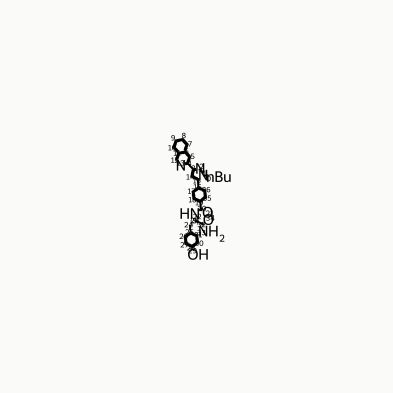 CCCCn1nc(-c2cc3ccccc3cn2)cc1-c1ccc(C(=O)N[C@@H](Cc2ccc(O)cc2)C(N)=O)cc1